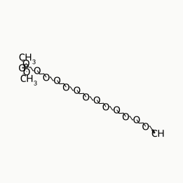 C#CCOCCOCCOCCOCCOCCOCCOCCOCCOCCOCCOCCOCCP(=O)(OCC)OCC